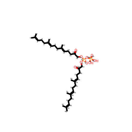 CC(C)=CCC/C(C)=C/CC/C(C)=C/CCC(=O)COP(=O)(OCC(=O)CC/C=C(\C)CC/C=C(\C)CCC=C(C)C)OP(=O)(O)O